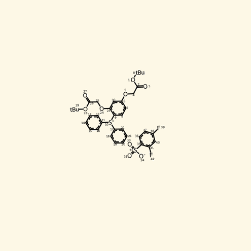 CC(C)(C)OC(=O)COc1ccc([S+](c2ccccc2)c2ccccc2)c(OCC(=O)OC(C)(C)C)c1.O=S(=O)([O-])c1ccc(F)cc1F